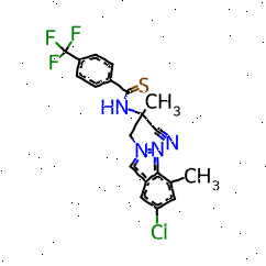 Cc1cc(Cl)cc2cn(CC(C)(C#N)NC(=S)c3ccc(C(F)(F)F)cc3)nc12